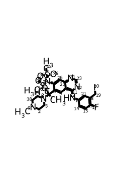 CN1CCN(C(C)(C)c2cc3c(Nc4ccc(F)c(CI)c4)ncnc3cc2N(S(C)(=O)=O)S(C)(=O)=O)CC1